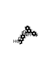 CCC(=Cc1ccc(F)c(NC(=O)c2cc(-c3ccc(F)cc3)cc3ccccc23)c1)C(=O)O